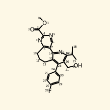 COC(=O)c1ncc2c(n1)CCCc1c-2nc(C(C)C)c(CO)c1-c1ccc(F)cc1